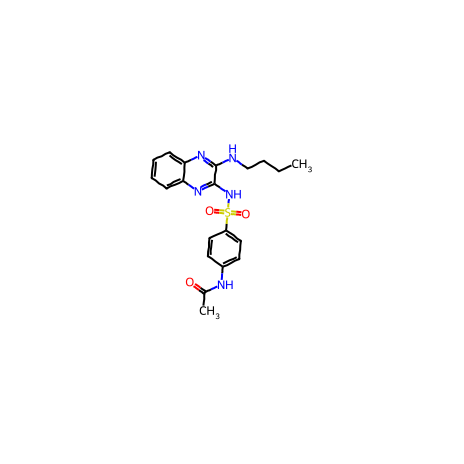 CCCCNc1nc2ccccc2nc1NS(=O)(=O)c1ccc(NC(C)=O)cc1